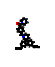 COc1ccc(C2(c3ccc(OC)cc3)CCCN(Cc3ccc(C(=O)N4CCCCC4)cc3)C2)cc1